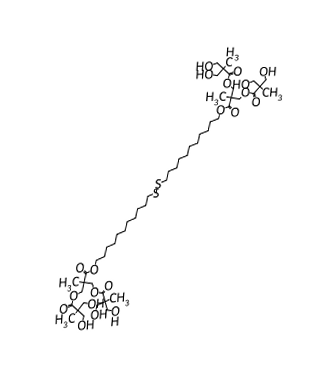 CC(CO)(CO)C(=O)OCC(C)(COC(=O)C(C)(CO)CO)C(=O)OCCCCCCCCCCCSSCCCCCCCCCCCOC(=O)C(C)(COC(=O)C(C)(CO)CO)COC(=O)C(C)(CO)CO